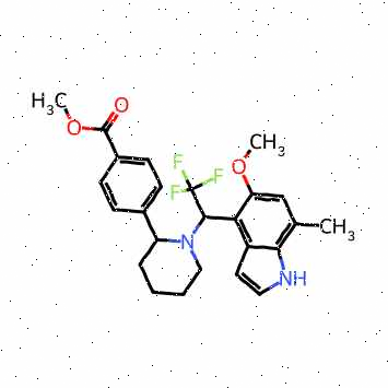 COC(=O)c1ccc(C2CCCCN2C(c2c(OC)cc(C)c3[nH]ccc23)C(F)(F)F)cc1